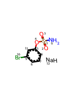 NS(=O)(=O)Oc1cccc(Br)c1.[NaH]